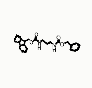 O=C(NCCCNC(=O)OCC1c2ccccc2-c2ccccc21)OCc1ccccc1